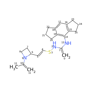 C=C(NS/C=C/C1CCN1C(=C)C)Nc1c2c(cc3c1CCC3)CCC2